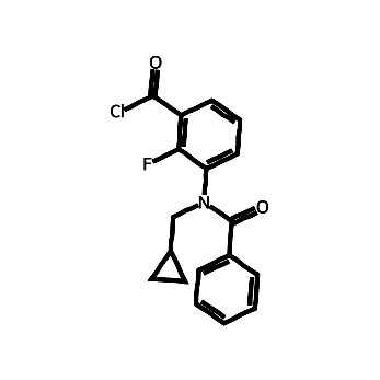 O=C(Cl)c1cccc(N(CC2CC2)C(=O)c2ccccc2)c1F